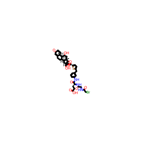 C[C@]12C=CC(=O)C=C1CC[C@@H]1[C@@H]2[C@@H](O)C[C@@]2(C)[C@H]1C[C@H]1O[C@@H](c3ccc(Cc4cccc(NC(=O)[C@H](CCC(=O)O)NC(=O)CNC(=O)CBr)c4)s3)O[C@]12C(=O)CO